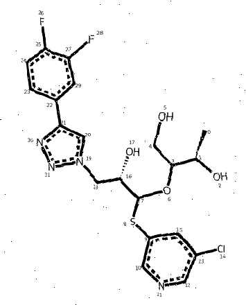 C[C@@H](O)C(CO)OC(Sc1cncc(Cl)c1)[C@@H](O)Cn1cc(-c2ccc(F)c(F)c2)nn1